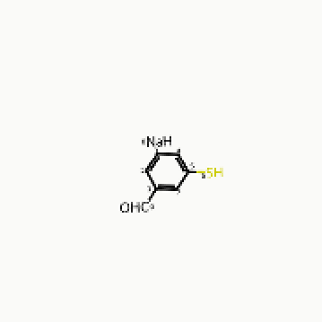 O=Cc1cccc(S)c1.[NaH]